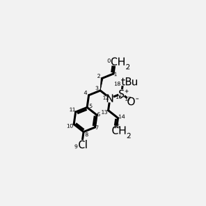 C=CC[C@H](Cc1ccc(Cl)cc1)N(CC=C)[S+]([O-])C(C)(C)C